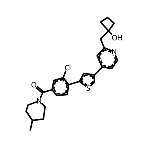 CC1CCN(C(=O)c2ccc(-c3cc(-c4ccnc(CC5(O)CCC5)c4)cs3)c(Cl)c2)CC1